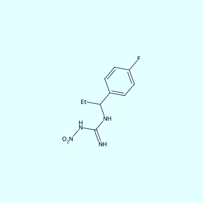 CCC(NC(=N)N[N+](=O)[O-])c1ccc(F)cc1